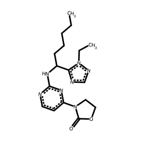 CCCCCC(Nc1nccc(N2CCOC2=O)n1)c1ncnn1CC